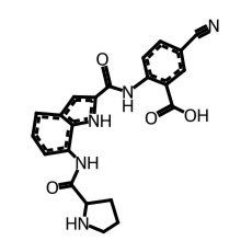 N#Cc1ccc(NC(=O)c2cc3cccc(NC(=O)C4CCCN4)c3[nH]2)c(C(=O)O)c1